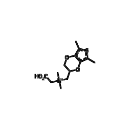 Cc1sc(C)c2c1OCC(C[N+](C)(C)CC(=O)O)O2